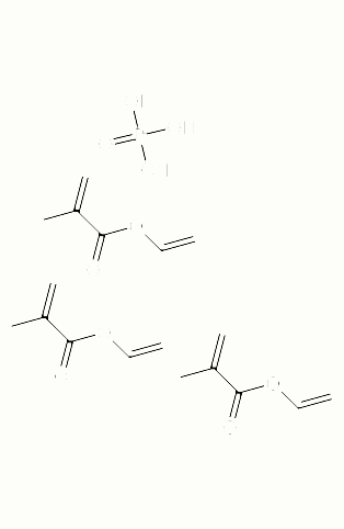 C=COC(=O)C(=C)C.C=COC(=O)C(=C)C.C=COC(=O)C(=C)C.O=P(O)(O)O